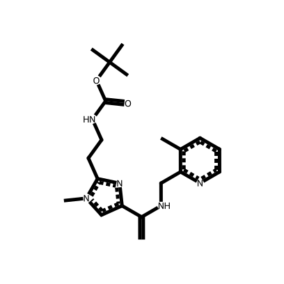 C=C(NCc1ncccc1C)c1cn(C)c(CCNC(=O)OC(C)(C)C)n1